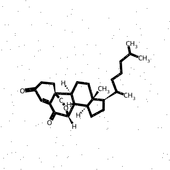 CC(C)CCCC(C)[C@H]1CC[C@H]2[C@@H]3[C@H]4OC[C@@]5(CCC(=O)C=C5C4=O)[C@H]3CC[C@]12C